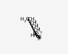 CC(C)=CCC/C(C)=C/CC/C(C)=C/CC/C(C)=C/COC(=O)Nc1ccc(C(F)(F)F)cc1